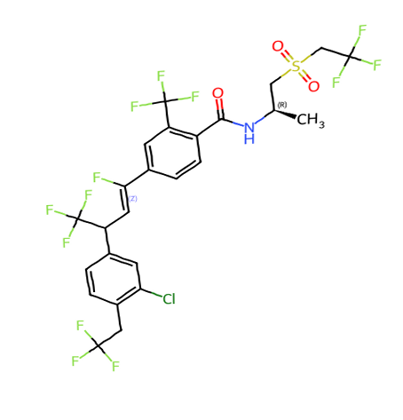 C[C@H](CS(=O)(=O)CC(F)(F)F)NC(=O)c1ccc(/C(F)=C/C(c2ccc(CC(F)(F)F)c(Cl)c2)C(F)(F)F)cc1C(F)(F)F